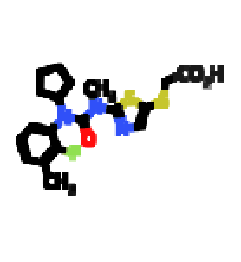 Cc1cccc(N(C(=O)N(C)c2ncc(SCC(=O)O)s2)C2CCCC2)c1F